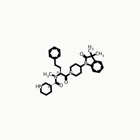 CN(C(=O)[C@@H]1CCCNC1)[C@@H](CCc1ccccc1)C(=O)N1CCC(N2C(=O)C(C)(C)c3ccccc32)CC1